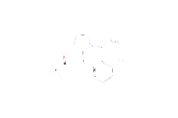 C=CCN1CCC[C@H]1[C@@H](OC(=O)C(C)(C)C)c1cccc(OC)c1